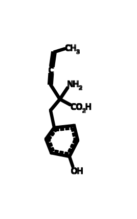 CC=C=CC(N)(Cc1ccc(O)cc1)C(=O)O